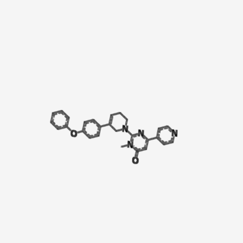 Cn1c(N2CCC=C(c3ccc(Oc4ccccc4)cc3)C2)nc(-c2ccncc2)cc1=O